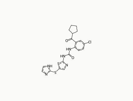 O=C(Nc1ncc(Sc2ncc[nH]2)s1)Nc1ccc(Cl)cc1C(=O)C1CCCC1